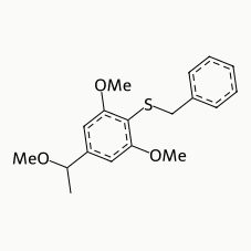 COc1cc(C(C)OC)cc(OC)c1SCc1ccccc1